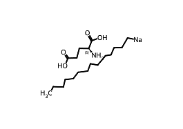 CCCCCCCCCCCCC[CH2][Na].N[C@@H](CCC(=O)O)C(=O)O